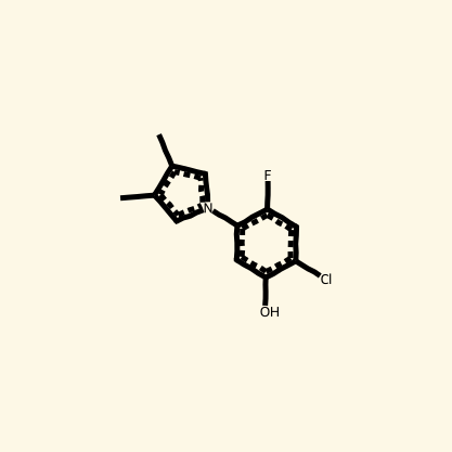 Cc1cn(-c2cc(O)c(Cl)cc2F)cc1C